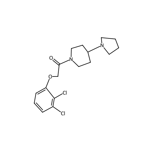 O=C(COc1cccc(Cl)c1Cl)N1CCC(N2CCCC2)CC1